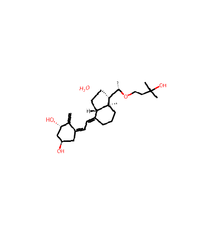 C=C1/C(=C\C=C2/CCC[C@]3(C)[C@@H]([C@H](C)OCCC(C)(C)O)CC[C@@H]23)C[C@@H](O)C[C@@H]1O.O